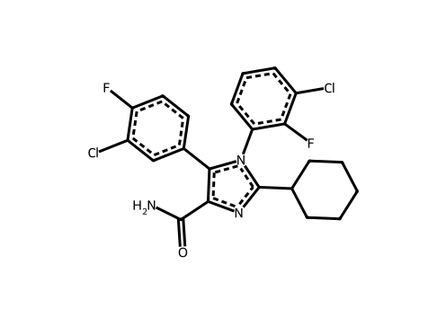 NC(=O)c1nc(C2CCCCC2)n(-c2cccc(Cl)c2F)c1-c1ccc(F)c(Cl)c1